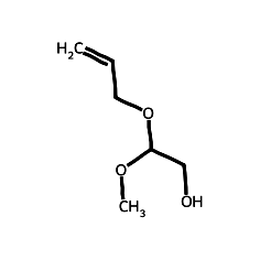 C=CCOC(CO)OC